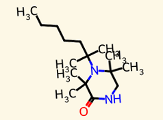 CCCCCC(C)(C)N1C(C)(C)CNC(=O)C1(C)C